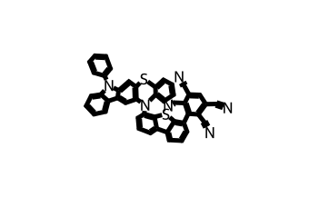 N#Cc1cc(C#N)c(C#N)c(-c2cccc3c2sc2c(N4c5ccccc5Sc5cc6c(cc54)c4ccccc4n6-c4ccccc4)cccc23)c1C#N